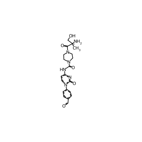 C[C@](N)(CO)C(=O)N1CCN(C(=O)Nc2ccn(-c3ccc(C=O)cc3)c(=O)n2)CC1